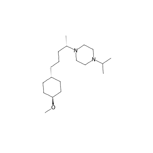 CO[C@H]1CC[C@H](CCC[C@H](C)N2CCN(C(C)C)CC2)CC1